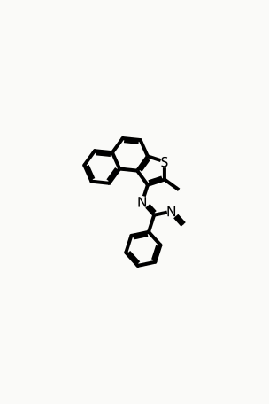 C=N/C(=N\c1c(C)sc2ccc3ccccc3c12)c1ccccc1